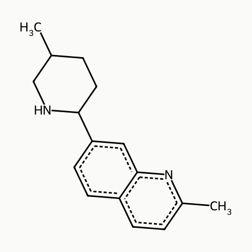 Cc1ccc2ccc(C3CCC(C)CN3)cc2n1